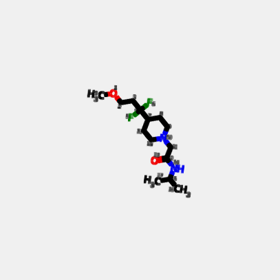 COCCC(F)(F)C1CCN(CC(=O)NC(C)C)CC1